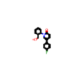 O=c1ccc(-c2ccc(F)cc2)cn1-c1ccccc1CO